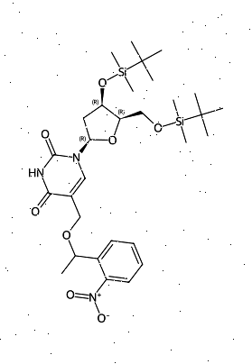 CC(OCc1cn([C@H]2C[C@@H](O[Si](C)(C)C(C)(C)C)[C@@H](CO[Si](C)(C)C(C)(C)C)O2)c(=O)[nH]c1=O)c1ccccc1[N+](=O)[O-]